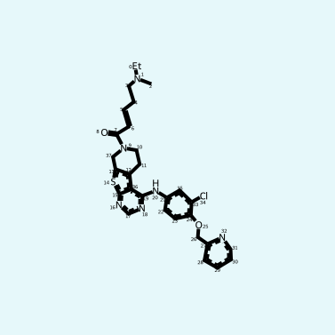 CCN(C)CCC=CC(=O)N1CCc2c(sc3ncnc(Nc4ccc(OCc5ccccn5)c(Cl)c4)c23)C1